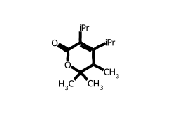 CC(C)C1=C(C(C)C)C(C)C(C)(C)OC1=O